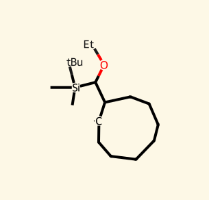 CCOC(C1[CH]CCCCCCC1)[Si](C)(C)C(C)(C)C